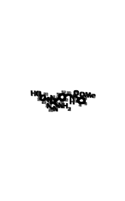 COc1ccccc1C(=O)NCc1ccc(-c2nn([C@@H]3CC[C@H](O)C3)c3ncnc(N)c23)cc1